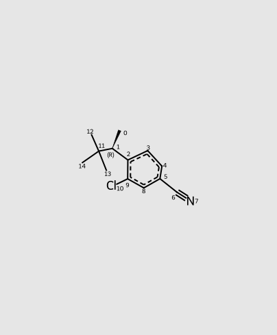 C[C@@H](c1ccc(C#N)cc1Cl)C(C)(C)C